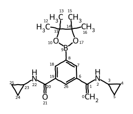 C=C(NC1CC1)c1cc(B2OC(C)(C)C(C)(C)O2)cc(C(=O)NC2CC2)c1